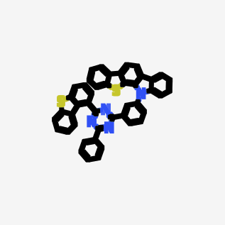 c1ccc(-c2nc(-c3cccc(-n4c5ccccc5c5ccc6c7ccccc7sc6c54)c3)nc(-c3cccc4sc5ccccc5c34)n2)cc1